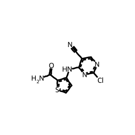 N#Cc1cnc(Cl)nc1Nc1ccsc1C(N)=O